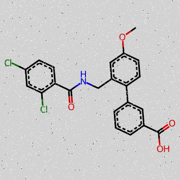 COc1ccc(-c2cccc(C(=O)O)c2)c(CNC(=O)c2ccc(Cl)cc2Cl)c1